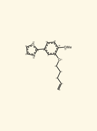 C=CCCCOc1cc(-c2ncco2)ccc1OC